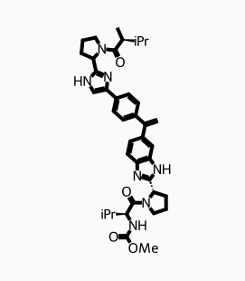 C=C(c1ccc(-c2c[nH]c(C3CCCN3C(=O)[C@@H](C)C(C)C)n2)cc1)c1ccc2nc([C@@H]3CCCN3C(=O)[C@@H](NC(=O)OC)C(C)C)[nH]c2c1